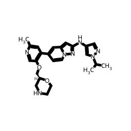 Cc1cc(-c2ccn3nc(Nc4cnn(C(C)C)c4)cc3c2)c(OC[C@@H]2CNCCO2)cn1